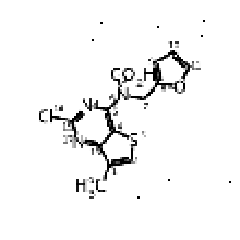 Cc1csc2c(N(Cc3ccco3)C(=O)O)nc(Cl)nc12